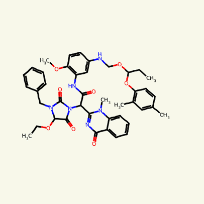 CCOC1C(=O)N(C(C(=O)Nc2cc(NCOC(CC)Oc3ccc(C)cc3C)ccc2OC)c2nc(=O)c3ccccc3n2C)C(=O)N1Cc1ccccc1